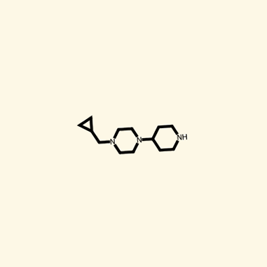 C1CC(N2CCN(CC3CC3)CC2)CCN1